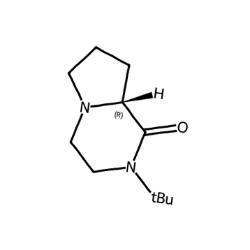 CC(C)(C)N1CCN2CCC[C@@H]2C1=O